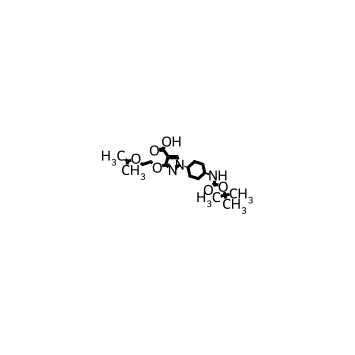 CC(C)OCCOc1nn([C@H]2CC[C@H](NC(=O)OC(C)(C)C)CC2)cc1C(=O)O